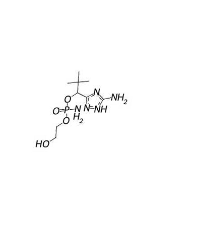 CC(C)(C)C(OP(N)(=O)OCCO)c1n[nH]c(N)n1